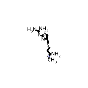 C/N=C(\N)CCSCc1csc(N=C(N)N)n1